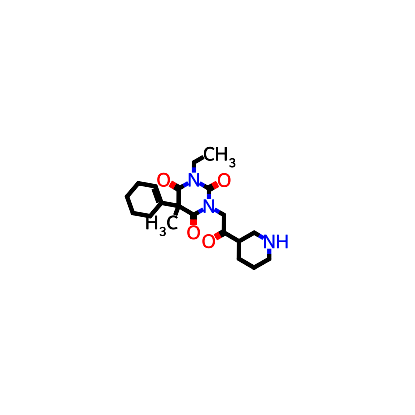 CCN1C(=O)N(CC(=O)C2CCCNC2)C(=O)C(C)(C2=CCCCC2)C1=O